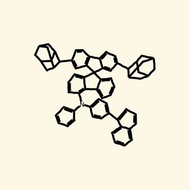 c1ccc(N(c2ccc(-c3cccc4ccccc34)cc2)c2cccc3c2-c2ccccc2C32c3cc(C4C5CC6CC(C5)CC4C6)ccc3-c3ccc(C4C5CC6CC(C5)CC4C6)cc32)cc1